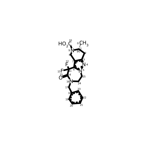 C[C@@H]1Cc2nn3c(c2CN1C(=O)O)C(F)(F)C(=O)N(Cc1ccccc1)CC3